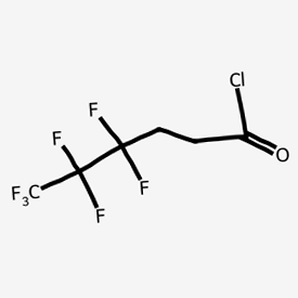 O=C(Cl)CCC(F)(F)C(F)(F)C(F)(F)F